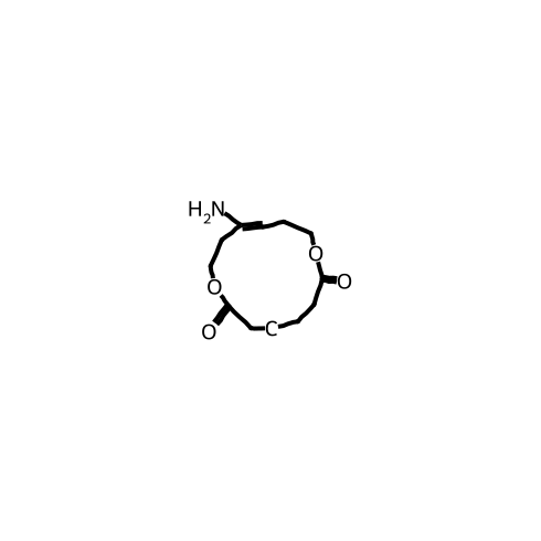 N/C1=C\CCOC(=O)CCCCC(=O)OCC1